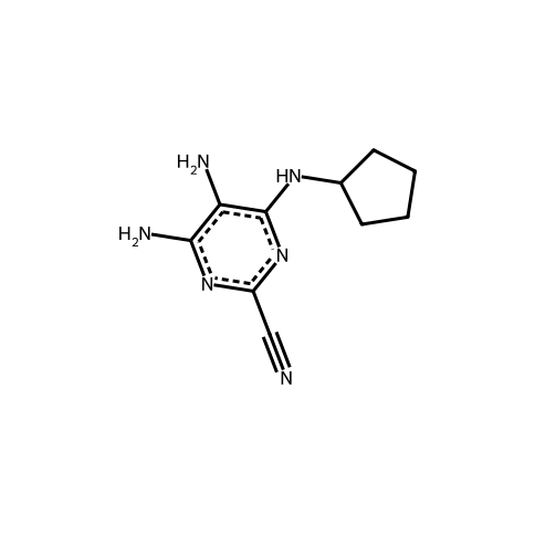 N#Cc1nc(N)c(N)c(NC2CCCC2)n1